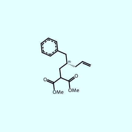 C=CC[C@@H](Cc1ccccc1)CC(C(=O)OC)C(=O)OC